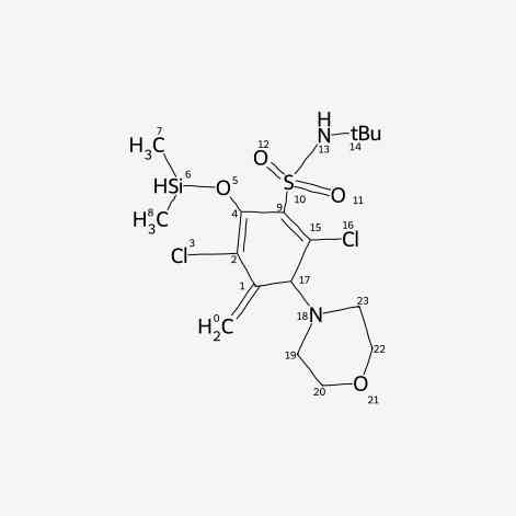 C=C1C(Cl)=C(O[SiH](C)C)C(S(=O)(=O)NC(C)(C)C)=C(Cl)C1N1CCOCC1